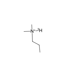 [2H][N+](C)(C)CCC